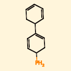 PC1C=CC(C2C=CC=CC2)=CC1